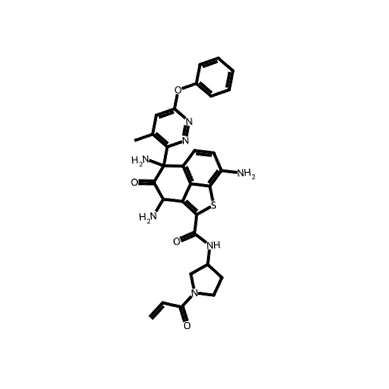 C=CC(=O)N1CCC(NC(=O)c2sc3c(N)ccc4c3c2C(N)C(=O)C4(N)c2nnc(Oc3ccccc3)cc2C)C1